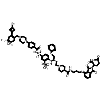 CCC12CC(C3=C(CN4CCN(c5ccc(C(=O)NS(=O)(=O)c6ccc(N[C@H](CCN7CCC(C(=O)NCCCNc8cccc9c8C(=O)N(C8CCC(=O)NC8=O)C9=O)CC7)CSc7ccccc7)c(S(=O)(=O)C(F)(F)F)c6)cc5)CC4)CCC(C)(C)C3)(C1)C2